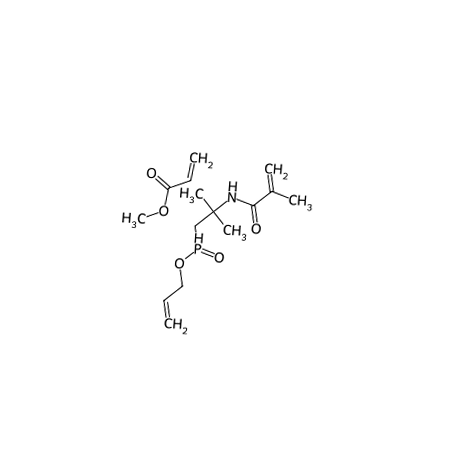 C=CC(=O)OC.C=CCO[PH](=O)CC(C)(C)NC(=O)C(=C)C